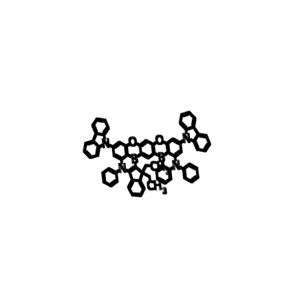 CCC1(CC)C2=C(c3ccccc31)N(c1ccccc1)c1cc(-n3c4ccccc4c4ccccc43)cc3c1B2c1cc2c(cc1O3)Oc1cc(-n3c4ccccc4c4ccccc43)cc3c1B2c1ccccc1N3c1ccccc1